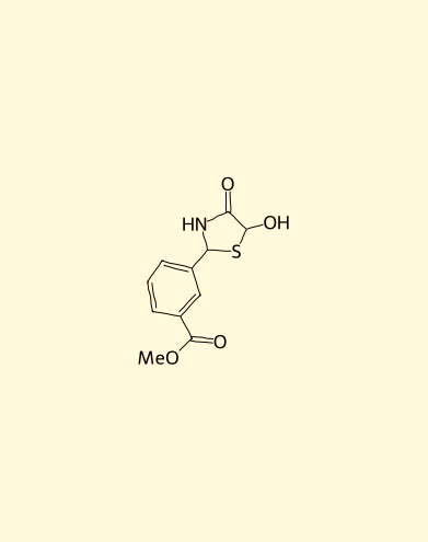 COC(=O)c1cccc(C2NC(=O)C(O)S2)c1